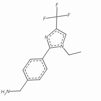 CCn1cc(C(F)(F)F)nc1-c1ccc(CN)cc1